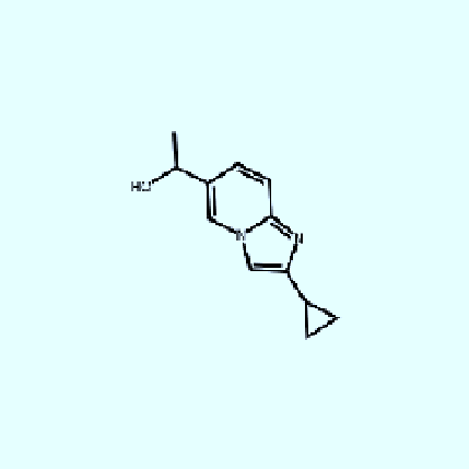 CC(O)c1ccc2nc(C3CC3)cn2c1